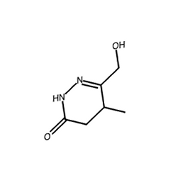 CC1CC(=O)NN=C1CO